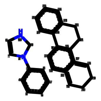 C1=CN(c2ccccc2)CN1.C1=c2ccc3c(c2=CCC1)CCc1ccccc1-3